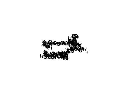 CC[C@H](C)[C@@H]([C@@H](CC(=O)N1CCC[C@H]1[C@H](OC)[C@@H](C)C(=O)N[C@H](C)[C@@H](O)c1ccccc1)OC)N(C)C(=O)[C@@H](NC(=O)[C@H](C(C)C)N(C)C(=O)OCc1ccc(NC(=O)C(CCCNC(N)=O)NC(=O)[C@@H](NC(=O)[C@H](CC(=O)N[C@H]2CCOC2=O)NC(=O)CCOCCOCCOCCOCCNC(=O)CCN2C(=O)C=CC2=O)C(C)C)cc1)C(C)C